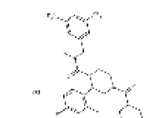 Cc1cc(F)ccc1C1CN(C(=O)C2CCCNC2)CCC1C(=O)N(C)Cc1cc(C(F)(F)F)cc(C(F)(F)F)c1.Cl